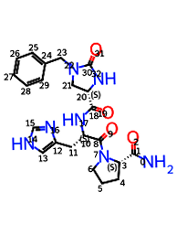 NC(=O)[C@@H]1CCCN1C(=O)[C@H](Cc1c[nH]cn1)NC(=O)[C@@H]1CN(Cc2ccccc2)C(=O)N1